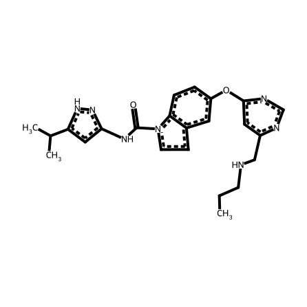 CCCNCc1cc(Oc2ccc3c(ccn3C(=O)Nc3cc(C(C)C)[nH]n3)c2)ncn1